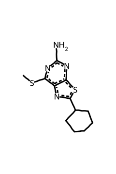 CSc1nc(N)nc2sc(C3CCCCC3)nc12